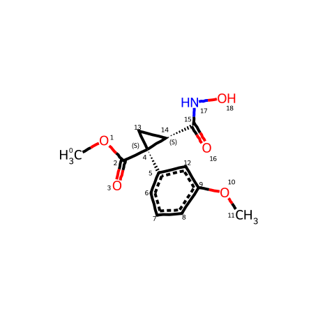 COC(=O)[C@@]1(c2cccc(OC)c2)C[C@@H]1C(=O)NO